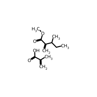 C=C(C(=O)OC)C(C)CC.C=C(C)C(=O)O